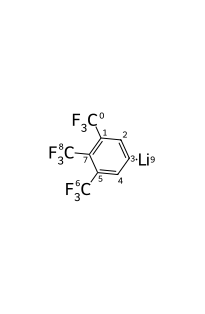 FC(F)(F)c1cccc(C(F)(F)F)c1C(F)(F)F.[Li]